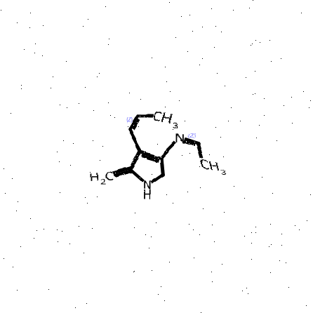 C=C1NCC(/N=C\C)=C1/C=C\C